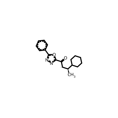 C[C@@H]([CH]C(=O)c1nnc(-c2ccccc2)o1)C1CCCCC1